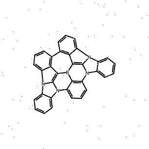 c1cc2c3c(c1)-n1c4ccccc4n4c5cccc6c5c(c14)B3c1c3c-6cccc3n3c4ccccc4n-2c13